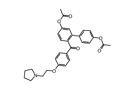 CC(=O)Oc1ccc(-c2cc(OC(C)=O)ccc2C(=O)c2ccc(OCCN3CCCC3)cc2)cc1